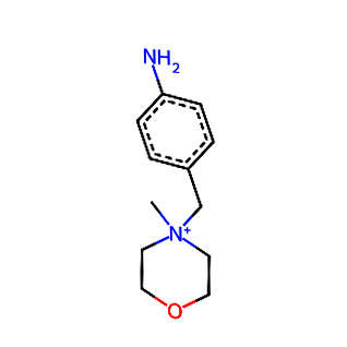 C[N+]1(Cc2ccc(N)cc2)CCOCC1